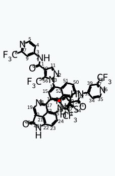 O=C(Nc1ccnc(C(F)(F)F)c1)c1cnn(-c2cc(-c3ncc4c5c(ccc(-n6ncc(C(=O)Nc7ccnc(C(F)(F)F)c7)c6C(F)(F)F)c35)NC4=O)c3c4c(cccc24)C(=S)N3)c1C(F)(F)F